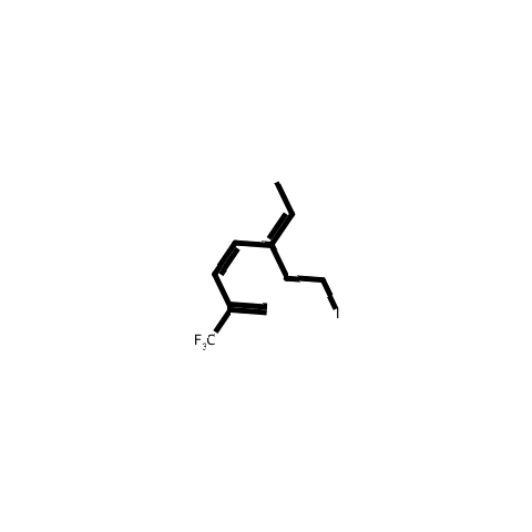 C=C(/C=C\C(=C/C)CCI)C(F)(F)F